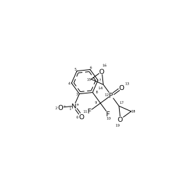 O=[N+]([O-])c1ccccc1C(F)(F)P(=O)(C1CO1)C1CO1